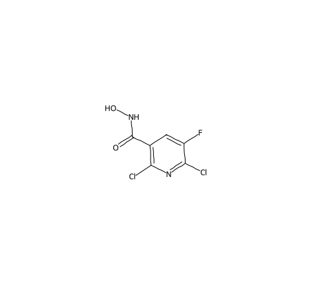 O=C(NO)c1cc(F)c(Cl)nc1Cl